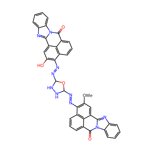 COc1cc2c3c(cccc3c(=O)n3c4ccccc4nc23)c1N=NC1NNC(N=Nc2c(O)cc3c4c2cccc4c(=O)n2c4ccccc4nc32)O1